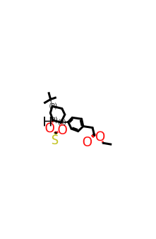 CCOC(=O)Cc1ccc([C@]23CC[C@@H](C(C)(C)C)C[C@H]2OC(=S)O3)cc1